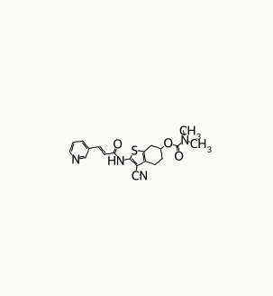 CN(C)C(=O)OC1CCc2c(sc(NC(=O)C=Cc3cccnc3)c2C#N)C1